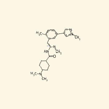 C=N/C(=C\c1cc(-c2cnn(C)c2)ccc1C)NC(=O)C1CCC(N(C)C)CC1